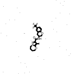 O=C(NC1COc2ccc(C(F)(F)F)cc2C1)c1nn2c(c1I)OCCCC2